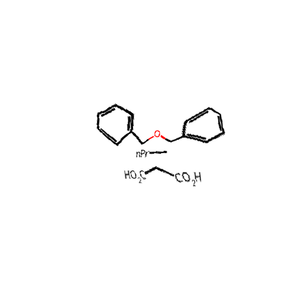 CCCC.O=C(O)CC(=O)O.c1ccc(COCc2ccccc2)cc1